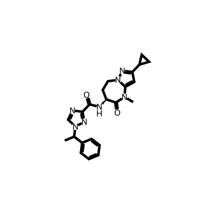 CC(c1ccccc1)n1cnc(C(=O)N[C@H]2CCn3nc(C4CC4)cc3N(C)C2=O)n1